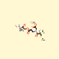 CC(=O)SC[C@@H](C)C(=O)N(CCC(=O)OCC(=O)N(C)C)CC(=O)OC(C)(C)C